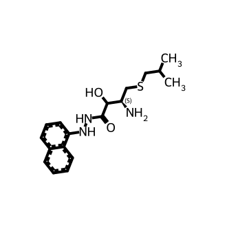 CC(C)CSC[C@@H](N)C(O)C(=O)NNc1cccc2ccccc12